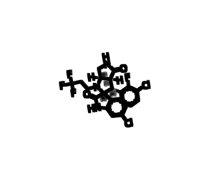 O=C1NC[C@H]2[C@@H]1[C@H](c1cccc(Cl)c1F)[C@]1(C(=O)Nc3cc(Cl)ccc31)N2CCC(F)(F)F